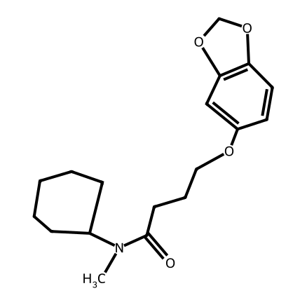 CN(C(=O)CCCOc1ccc2c(c1)OCO2)C1CCCCC1